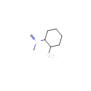 C=[N+](C)C1CCCCC1NC